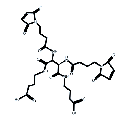 O=C(O)CCCNC(=O)[C@@H](NC(=O)CCCN1C(=O)C=CC1=O)[C@@H](NC(=O)CCCN1C(=O)C=CC1=O)C(=O)NCCCC(=O)O